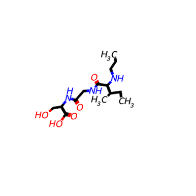 CCCNC(C(=O)NCC(=O)NC(CO)C(=O)O)C(C)CC